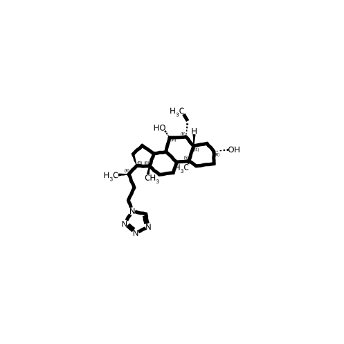 CC[C@H]1[C@@H](O)C2C3CC[C@H]([C@H](C)CCn4cnnn4)[C@@]3(C)CCC2[C@@]2(C)CC[C@@H](O)C[C@@H]12